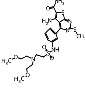 COCCN(CCOC)CCS(=O)(=O)Nc1cccc(-c2nc(SC)nc3sc(C(N)=O)c(N)c23)c1